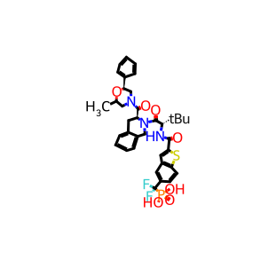 CC1CN(C(=O)[C@@H]2Cc3ccccc3CN2C(=O)[C@@H](NC(=O)c2cc3cc(C(F)(F)P(=O)(O)O)ccc3s2)C(C)(C)C)C[C@H](c2ccccc2)O1